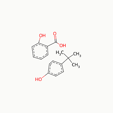 CC(C)(C)c1ccc(O)cc1.O=C(O)c1ccccc1O